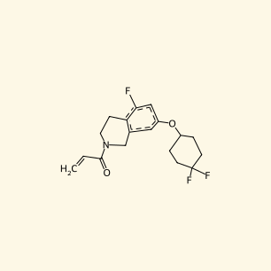 C=CC(=O)N1CCc2c(F)cc(OC3CCC(F)(F)CC3)cc2C1